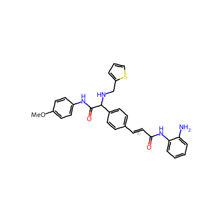 COc1ccc(NC(=O)C(NCc2cccs2)c2ccc(/C=C/C(=O)Nc3ccccc3N)cc2)cc1